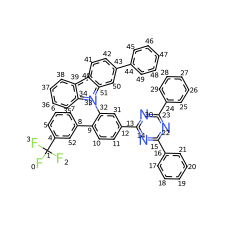 FC(F)(F)c1cccc(-c2ccc(-c3nc(-c4ccccc4)nc(-c4ccccc4)n3)cc2-n2c3ccccc3c3ccc(-c4ccccc4)cc32)c1